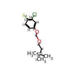 C[Si](C)(C)CCOCOc1ccc(F)c(Cl)c1